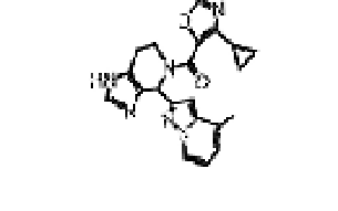 Cc1cccn2nc(C3c4nc[nH]c4CCN3C(=O)c3ocnc3C3CC3)cc12